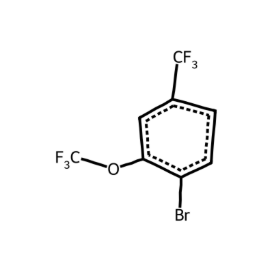 FC(F)(F)Oc1cc(C(F)(F)F)ccc1Br